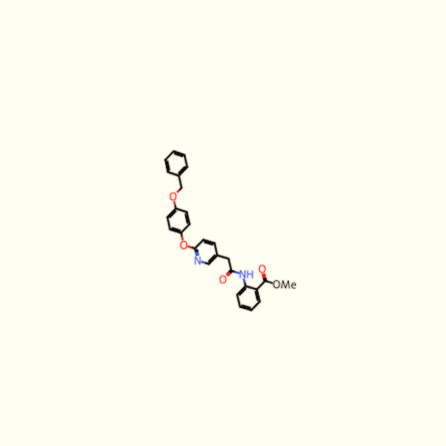 COC(=O)c1ccccc1NC(=O)Cc1ccc(Oc2ccc(OCc3ccccc3)cc2)nc1